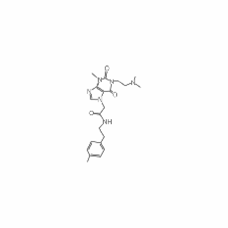 Cc1ccc(CCNC(=O)Cn2cnc3c2c(=O)n(CCN(C)C)c(=O)n3C)cc1